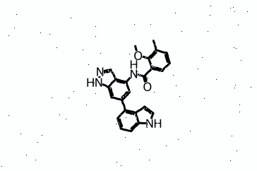 COc1c(C)cccc1C(=O)Nc1cc(-c2cccc3[nH]ccc23)cc2[nH]ncc12